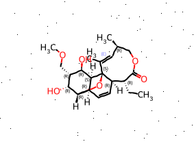 CC[C@H]1C(=O)OC[C@H](C)/C=C(\C)[C@@]23O[C@H]4[C@H](O)[C@H](COC)[C@@H](O)[C@@H]2[C@H]4C=C[C@H]13